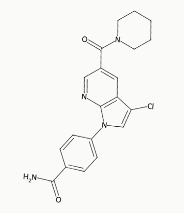 NC(=O)c1ccc(-n2cc(Cl)c3cc(C(=O)N4CCCCC4)cnc32)cc1